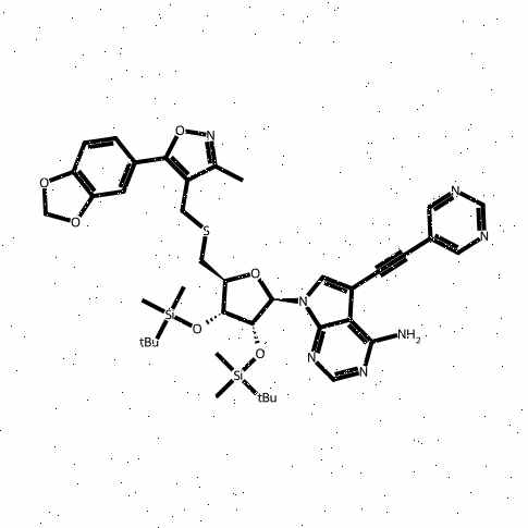 Cc1noc(-c2ccc3c(c2)OCO3)c1CSC[C@H]1O[C@@H](n2cc(C#Cc3cncnc3)c3c(N)ncnc32)[C@H](O[Si](C)(C)C(C)(C)C)[C@@H]1O[Si](C)(C)C(C)(C)C